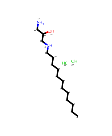 CCCCCCCCCCCCNCC(O)CN.Cl.Cl